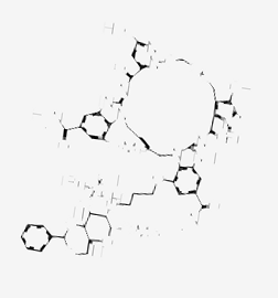 CCn1nc(C)c2c1C(=O)/N=C1\Nc3cc(C(N)=O)cc(OCCCO[C@@H]4C(O[Si](C)(C)C(C)(C)C)[C@@H]5OC(c6ccccc6)OC[C@H]5O[C@@H]4OC)c3N1C/C=C/CN1/C(=N\C(=O)c3cc(C)nn3CCCCC2)Nc2cc(C(N)=O)cc(OC)c21